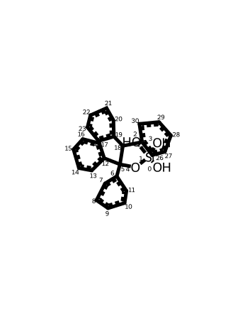 O[Si](O)(O)OC(c1ccccc1)(c1ccccc1)C(c1ccccc1)c1ccccc1